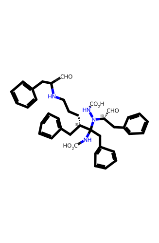 O=CC(Cc1ccccc1)NCCC[C@@H](Cc1ccccc1)C(Cc1ccccc1)(NC(=O)O)N(NC(=O)O)[C@H](C=O)Cc1ccccc1